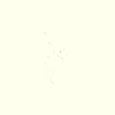 C[C@@H](O)[C@H]1C(=O)N2C(C(=O)OC(=O)c3ccc([N+](=O)[O-])cc3)=C(CN3CC[C@H](N(C)C)C3)[C@H](C)[C@H]12